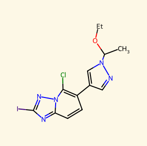 CCOC(C)n1cc(-c2ccc3nc(I)nn3c2Cl)cn1